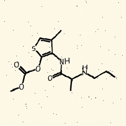 CCCNC(C)C(=O)Nc1c(C)csc1OC(=O)OC